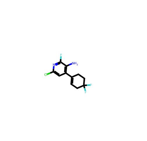 Nc1c(C2=CCC(F)(F)CC2)cc(Cl)nc1F